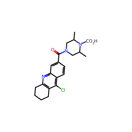 CC1CN(C(=O)c2ccc3c(Cl)c4c(nc3c2)CCCC4)CC(C)N1C(=O)O